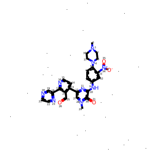 CN1CCN(c2ccc(Nc3nc(-c4ccnc(-c5cnccn5)c4C=O)cn(C)c3=O)cc2[N+](=O)[O-])CC1